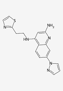 Nc1cc(NCCc2nccs2)c2ccc(-n3cccn3)cc2n1